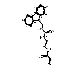 C=CC(=O)OCCNC(=O)OCC1c2ccccc2-c2ccccc21